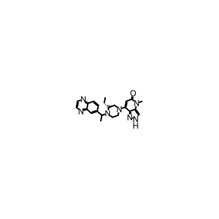 CC[C@@H]1CN(c2cc(=O)n(C)c3c[nH]nc23)CCN1C(C)c1ccc2nccnc2c1